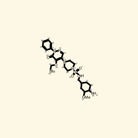 COC1CC(CNS(=O)(=O)N2CCN(c3cnn(-c4ccccc4)c(=O)c3OCC(C)(C)C)CC2)CCC1N